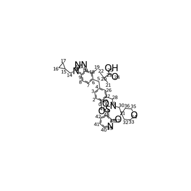 Cc1ccc([C@H](c2ccc3c(nnn3CC3CC3)c2C)C(C)(C)C(=O)O)cc1CN1CC2(CCOCC2)Oc2ncccc2S1(=O)=O